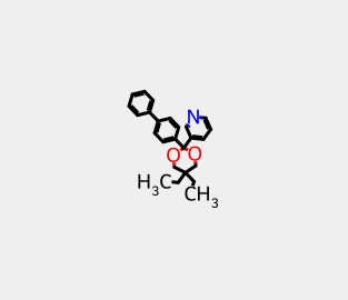 CCC1(CC)COC(c2ccc(-c3ccccc3)cc2)(c2cccnc2)OC1